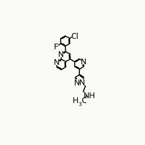 CNCCn1cc(-c2cncc(-c3cc(-c4cc(Cl)ccc4F)nc4ncccc34)c2)cn1